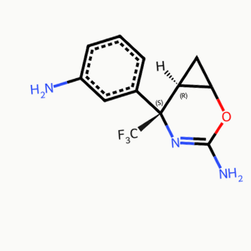 NC1=N[C@@](c2cccc(N)c2)(C(F)(F)F)[C@H]2CC2O1